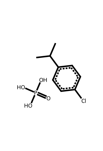 CC(C)c1ccc(Cl)cc1.O=P(O)(O)O